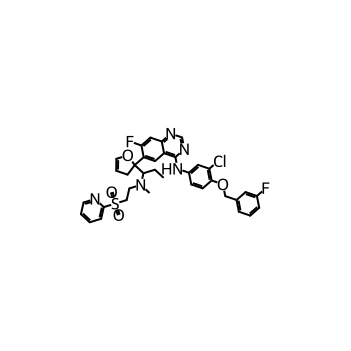 CCC(N(C)CCS(=O)(=O)c1ccccn1)C1(c2cc3c(Nc4ccc(OCc5cccc(F)c5)c(Cl)c4)ncnc3cc2F)CC=CO1